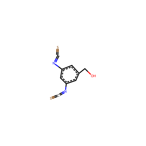 OCc1cc(N=C=S)cc(N=C=S)c1